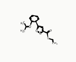 CCOC(=O)c1cc(-c2ccccc2OC(C)C)on1